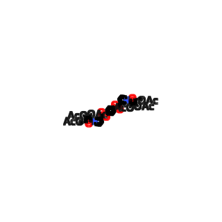 CC(=O)OC[C@H]1O[C@@H](N2C=CCC(C(=O)Oc3ccc(OC(=O)C4=CN([C@@H]5O[C@H](COC(C)=O)[C@@H](OC(C)=O)[C@H]5OC(C)=O)C=CC4)cc3)=C2)[C@H](OC(C)=O)[C@@H]1OC(C)=O